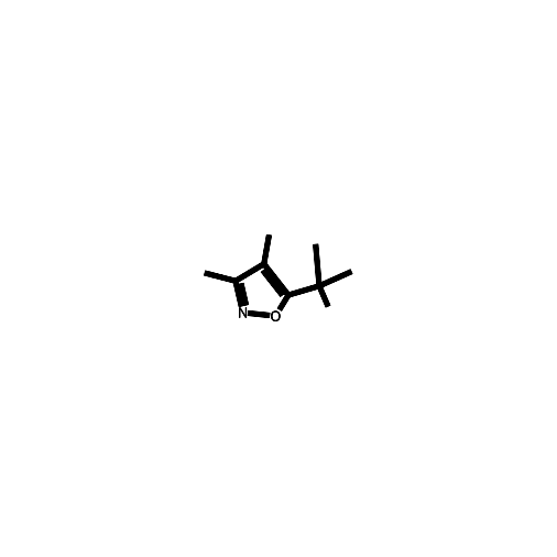 Cc1noc(C(C)(C)C)c1C